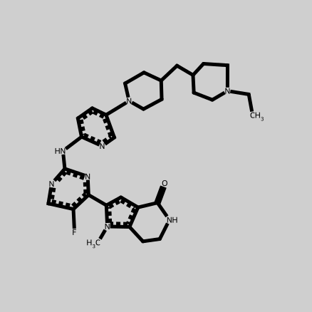 CCN1CCC(CC2CCN(c3ccc(Nc4ncc(F)c(-c5cc6c(n5C)CCNC6=O)n4)nc3)CC2)CC1